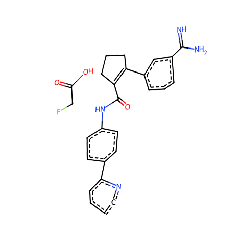 N=C(N)c1cccc(C2=C(C(=O)Nc3ccc(-c4ccccn4)cc3)CCC2)c1.O=C(O)CF